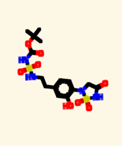 CC(C)(C)OC(=O)NS(=O)(=O)NCCc1ccc(N2CC(=O)NS2(=O)=O)c(O)c1